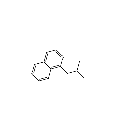 CC(C)Cc1nccc2cnccc12